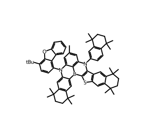 Cc1cc2c3c(c1)N(c1ccc(C(C)(C)C)c4oc5ccccc5c14)c1cc4c(cc1B3c1sc3cc5c(cc3c1N2c1ccc2c(c1)C(C)(C)CCC2(C)C)C(C)(C)CCC5(C)C)C(C)(C)CCC4(C)C